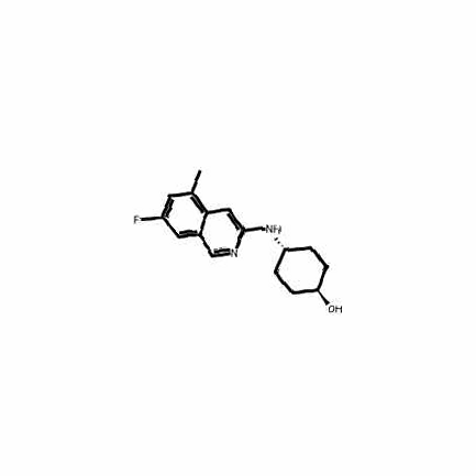 Cc1cc(F)cc2cnc(N[C@H]3CC[C@H](O)CC3)cc12